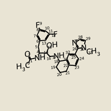 CC(=O)NC(Cc1cc(F)cc(F)c1)C(O)CNC1CCCc2ccc(-c3nccn3C)cc21